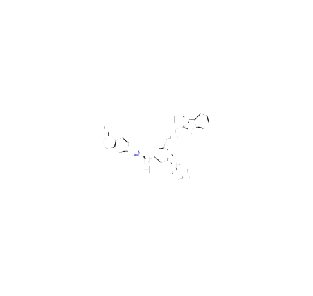 O=C1CCc2cc(/C=N/Nc3cc(N4CCOCC4)nc(COCc4nc5ccccc5[nH]4)n3)ccc21